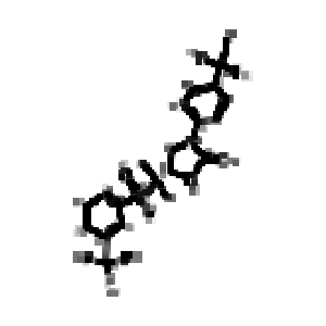 CC(C)([C@@H]1CN(c2ccc(C(F)(F)F)cn2)C(=O)O1)S(=O)(=O)c1cccc(C(F)(F)F)c1